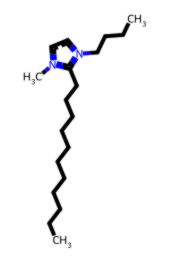 CCCCCCCCCCCc1n(CCCC)cc[n+]1C